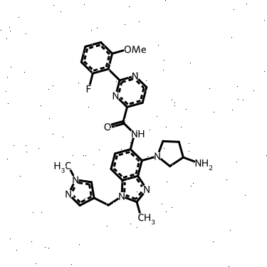 COc1cccc(F)c1-c1nccc(C(=O)Nc2ccc3c(nc(C)n3Cc3cnn(C)c3)c2N2CCC(N)C2)n1